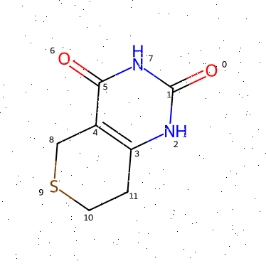 O=c1[nH]c2c(c(=O)[nH]1)CSCC2